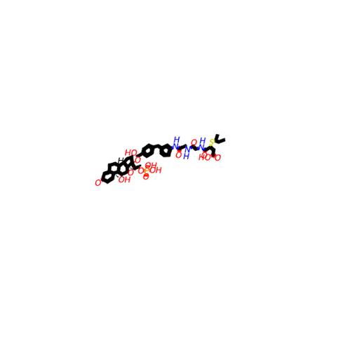 CCC(C)SC(CC(=O)O)C(=O)NCC(=O)NCC(=O)Nc1cccc(Cc2ccc([C@H](O)O[C@]3(C(=O)COP(=O)(O)O)CCC4[C@@H]5CCC6=CC(=O)C=C[C@]6(C)C5[C@@H](O)C[C@@]43C)cc2)c1